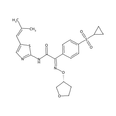 CC(C)=Cc1cnc(NC(=O)/C(=N/O[C@@H]2CCOC2)c2ccc(S(=O)(=O)C3CC3)cc2)s1